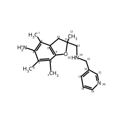 Cc1c(C)c2c(c(C)c1N)CC(C)(CNCc1cccnc1)O2